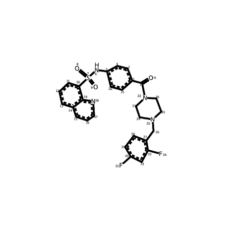 O=C(c1ccc(NS(=O)(=O)c2cccc3cccnc23)cc1)N1CCN(Cc2ccc(F)cc2F)CC1